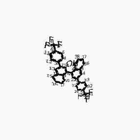 Oc1c(-c2ccc(C(F)(F)F)cc2)cc2ccccc2c1-c1cc(-c2ccc(C(F)(F)F)cc2)cc2ccccc12